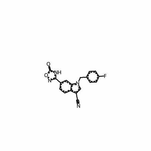 N#Cc1cn(Cc2ccc(F)cc2)c2cc(-c3noc(=O)[nH]3)ccc12